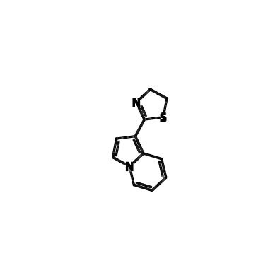 c1ccn2ccc(C3=NCCS3)c2c1